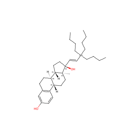 CCC[CH2][Sn]([CH]=C[C@@]1(O)CC[C@H]2[C@@H]3CCc4cc(O)ccc4[C@H]3CC[C@@]21C)([CH2]CCC)[CH2]CCC